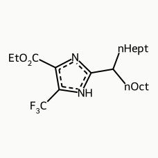 CCCCCCCCC(CCCCCCC)c1nc(C(=O)OCC)c(C(F)(F)F)[nH]1